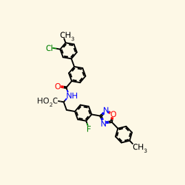 Cc1ccc(-c2nc(-c3ccc(CC(NC(=O)c4cccc(-c5ccc(C)c(Cl)c5)c4)C(=O)O)cc3F)no2)cc1